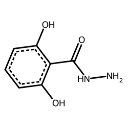 NNC(=O)c1c(O)cccc1O